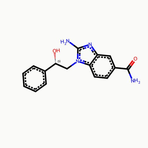 NC(=O)c1ccc2c(c1)nc(N)n2C[C@@H](O)c1ccccc1